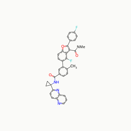 CNC(=O)c1c(-c2ccc(F)cc2)oc2ccc(-c3cc(C(=O)NC4(c5ccc6ncccc6n5)CC4)ccc3C)c(F)c12